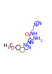 COc1ccc2c(c1)CCc1cnc(-n3cc(C(=O)NCCCn4ccnc4)c(N)n3)nc1-2